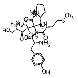 CSCCC(N)C(=O)N(C(=O)C(N)Cc1ccc(O)cc1)C(C(=O)O)(C(=O)C1CCCN1)C(C)(C)C(=O)C(N)CO